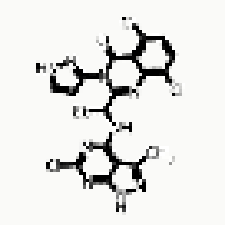 CCC(Nc1nc(Cl)nc2[nH]nc(C)c12)c1nc2c(Cl)ccc(Cl)c2c(=O)n1-c1cc[nH]n1